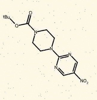 CC(C)(C)OC(=O)N1CCN(c2ncc([N+](=O)[O-])cn2)CC1